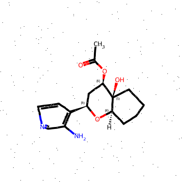 CC(=O)O[C@@H]1C[C@H](c2ccncc2N)O[C@@H]2CCCC[C@@]12O